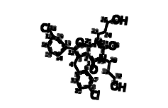 O=c1c2c(Cc3ccc(Cl)cc3)c(-c3cccc(Cl)c3)oc2n(CCCO)c(=O)n1CCCO